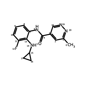 Cc1cc(C(=O)Nc2cccc(F)c2NC2CC2)cnn1